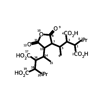 CC(C)C(C(=O)O)C(C(=O)O)C(C)C1C(=O)OC(=O)C1C(C)C(C(=O)O)C(C(=O)O)C(C)C